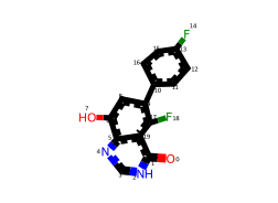 O=c1[nH]cnc2c(O)cc(-c3ccc(F)cc3)c(F)c12